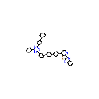 c1ccc(-c2ccc(-c3nc(-c4ccccc4)nc(-c4cccc(-c5ccc(-c6ccc(-c7ccnc8c7sc7nc9ccccc9nc78)cc6)cc5)c4)n3)cc2)cc1